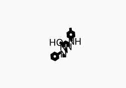 Cc1ccc(Nc2cc(O)nc(CN(C)Cc3ccccc3)n2)cc1